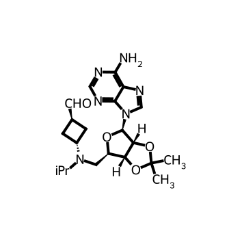 CC(C)N(C[C@H]1O[C@@H](n2cnc3c(N)ncnc32)[C@@H]2OC(C)(C)O[C@@H]21)[C@H]1C[C@H](C=O)C1